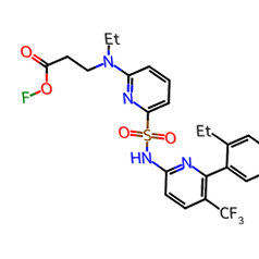 CCc1ccccc1-c1nc(NS(=O)(=O)c2cccc(N(CC)CCC(=O)OF)n2)ccc1C(F)(F)F